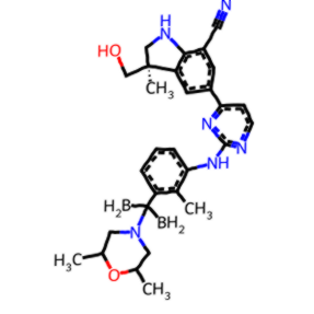 BC(B)(c1cccc(Nc2nccc(-c3cc(C#N)c4c(c3)[C@@](C)(CO)CN4)n2)c1C)N1CC(C)OC(C)C1